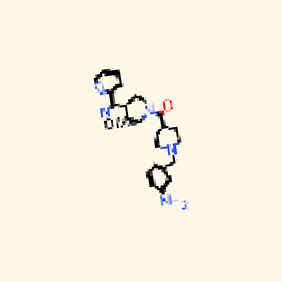 CO/N=C(/c1ccccn1)C1CCN(C(=O)C2CCN(Cc3cccc(N)c3)CC2)CC1